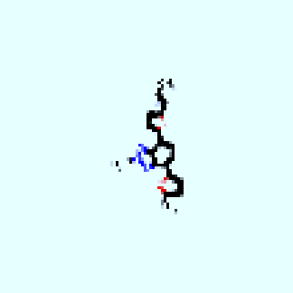 C/C=C/c1ccc(-c2ccc(-c3ccc(C)o3)c3nn(C)nc23)o1